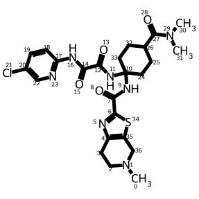 CN1CCc2nc(C(=O)NC3(NC(=O)C(=O)Nc4ccc(Cl)cn4)CCC(C(=O)N(C)C)CC3)sc2C1